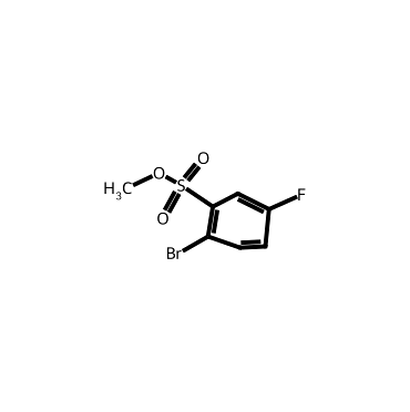 COS(=O)(=O)c1cc(F)ccc1Br